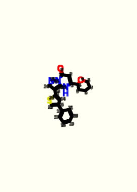 O=c1cc(C2CCCCO2)[nH]c2c(-c3cc(-c4ccccc4)cs3)cnn12